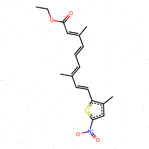 CCOC(=O)C=C(C)C=CC=C(C)C=Cc1sc([N+](=O)[O-])cc1C